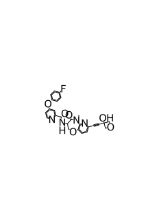 CN1C(=O)C(NC(=O)c2cc(Oc3ccc(F)cc3)ccn2)COc2ccc(C#CC3(O)COC3)nc21